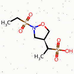 CCS(=O)(=O)N1C[C@H](C(C)S(=O)(=O)O)CO1